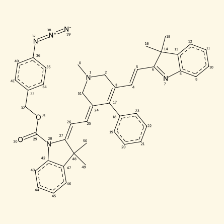 CN1CC(/C=C/C2=Nc3ccccc3C2(C)C)=C(c2ccccc2)C(=C/C=C2/N(C(=O)OCc3ccc(N=[N+]=[N-])cc3)c3ccccc3C2(C)C)/C1